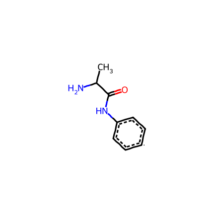 CC(N)C(=O)Nc1cc[c]cc1